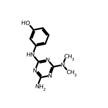 CN(C)c1nc(N)nc(Nc2cccc(O)c2)n1